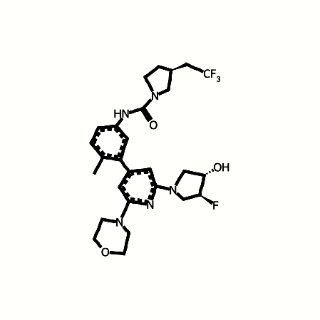 Cc1ccc(NC(=O)N2CC[C@@H](CC(F)(F)F)C2)cc1-c1cc(N2CCOCC2)nc(N2C[C@H](O)[C@@H](F)C2)c1